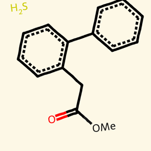 COC(=O)Cc1ccccc1-c1ccccc1.S